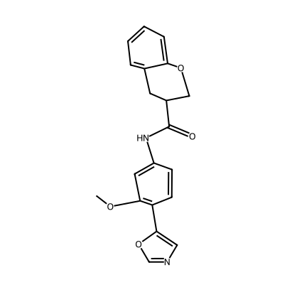 COc1cc(NC(=O)C2COc3ccccc3C2)ccc1-c1cnco1